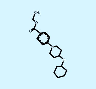 CCOC(=O)c1ccc(N2CCC(OC3CCCCC3)CC2)cc1